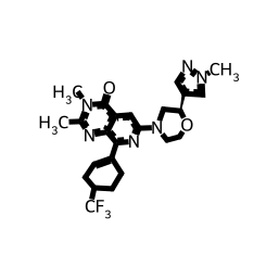 Cc1nc2c(C3=CCC(C(F)(F)F)CC3)nc(N3CCO[C@H](c4cnn(C)c4)C3)cc2c(=O)n1C